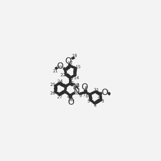 COc1cccc(C(=O)Cn2nc(-c3ccc(OC)c(OC)c3)c3ccccc3c2=O)c1